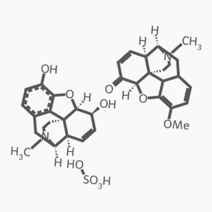 CN1CC[C@]23c4c5ccc(O)c4O[C@H]2[C@@H](O)C=C[C@H]3[C@H]1C5.COC1=C2O[C@H]3C(=O)C=C[C@H]4[C@H]5CC(C=C1)C2[C@@]34CCN5C.O=S(=O)(O)O